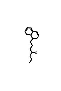 CCOC(=O)CCCc1cccc2ccccc12